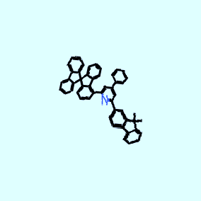 CC1(C)c2ccccc2-c2ccc(-c3cc(-c4ccccc4)cc(-c4cccc5c4-c4ccccc4C54c5ccccc5-c5ccccc54)n3)cc21